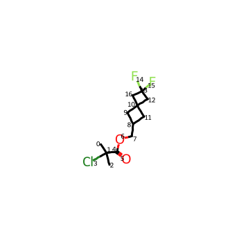 CC(C)(Cl)C(=O)OCC1CC2(C1)CC(F)(F)C2